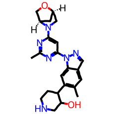 Cc1nc(N2C[C@H]3C[C@@H]2CO3)cc(-n2ncc3cc(C)c(C4CCNCC4O)cc32)n1